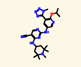 CC(C)Oc1ncc(Nc2ncc(C#N)c(NC3CC(C)(C)N(C)C(C)(C)C3)n2)cc1-c1nnnn1C